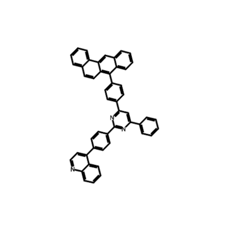 c1ccc(-c2cc(-c3ccc(-c4c5ccccc5cc5c4ccc4ccccc45)cc3)nc(-c3ccc(-c4ccnc5ccccc45)cc3)n2)cc1